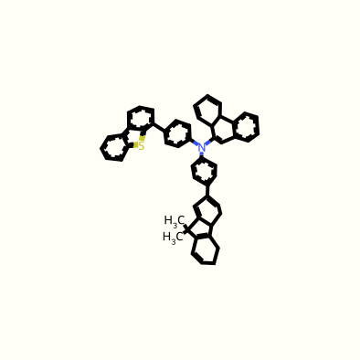 CC1(C)C2=CC(c3ccc(N(C4=Cc5ccccc5C5C=CC=CC45)c4ccc(-c5cccc6c5sc5ccccc56)cc4)cc3)=CCC2C2=C1C=CCC2